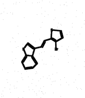 Brc1ccsc1C=Cc1csc2ccccc12